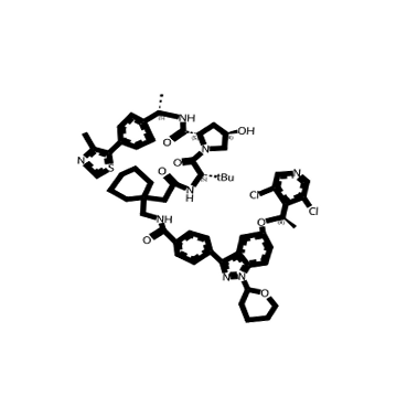 Cc1ncsc1-c1ccc([C@H](C)NC(=O)[C@@H]2C[C@@H](O)CN2C(=O)[C@@H](NC(=O)CC2(CNC(=O)c3ccc(-c4nn(C5CCCCO5)c5ccc(O[C@H](C)c6c(Cl)cncc6Cl)cc45)cc3)CCCCC2)C(C)(C)C)cc1